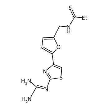 CCC(=S)NCc1ccc(-c2csc(N=C(N)N)n2)o1